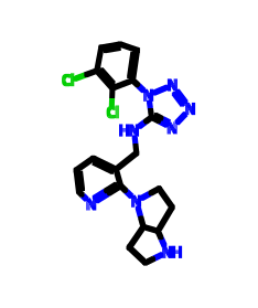 Clc1cccc(-n2nnnc2NCc2cccnc2N2CCC3NCCC32)c1Cl